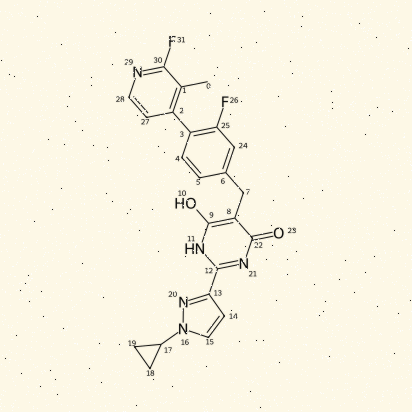 Cc1c(-c2ccc(Cc3c(O)[nH]c(-c4ccn(C5CC5)n4)nc3=O)cc2F)ccnc1F